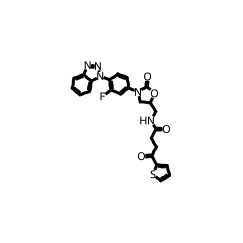 O=C(CCC(=O)c1cccs1)NCC1CN(c2ccc(-n3nnc4ccccc43)c(F)c2)C(=O)O1